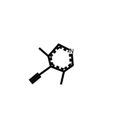 C#Cc1c(C)cncc1C